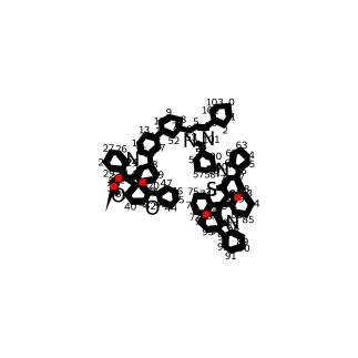 c1ccc(-c2cc(-c3cccc(-c4ccc5c(c4)c4cccc6c4n5-c4ccccc4C64c5ccccc5Oc5cc6oc7ccccc7c6cc54)c3)nc(-c3cccc(-n4c5ccccc5c5ccc6c(c54)Sc4ccccc4C64c5ccccc5-n5c6ccccc6c6cccc4c65)c3)n2)cc1